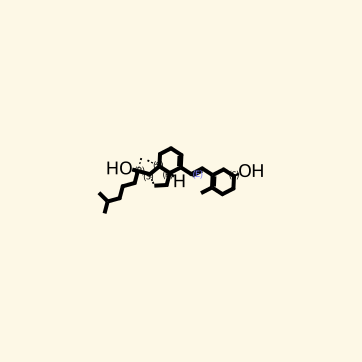 CC1=C(/C=C/C2=CCC[C@@]3(C)[C@H]2CC[C@@H]3[C@](C)(O)CCCC(C)C)C[C@@H](O)CC1